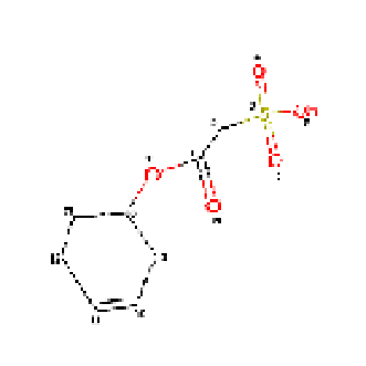 O=C(CS(=O)(=O)O)OC1CC=CCC1